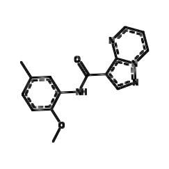 COc1ccc(C)cc1NC(=O)c1cnn2cccnc12